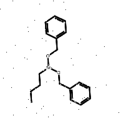 CCC[CH2][Sn]([O]Cc1ccccc1)[O]Cc1ccccc1